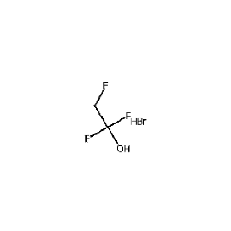 Br.OC(F)(F)CF